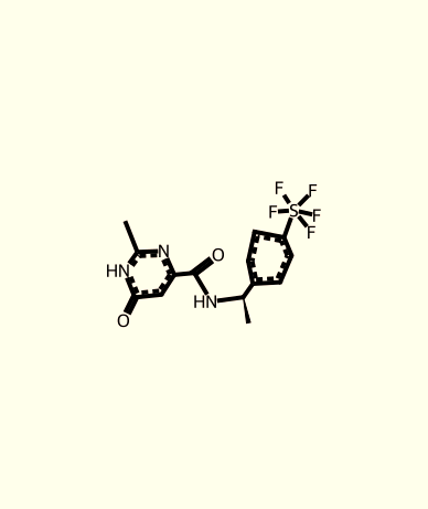 Cc1nc(C(=O)N[C@H](C)c2ccc(S(F)(F)(F)(F)F)cc2)cc(=O)[nH]1